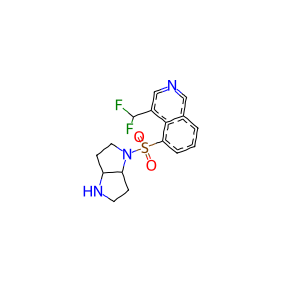 O=S(=O)(c1cccc2cncc(C(F)F)c12)N1CCC2NCCC21